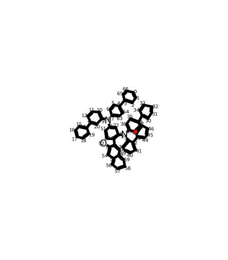 c1ccc(-c2ccc(N(c3cccc(-c4ccccc4)c3)c3cc(N(c4ccc(-c5ccccc5)cc4)c4ccccc4-c4ccccc4)c4c(c3)oc3cc5ccccc5cc34)cc2)cc1